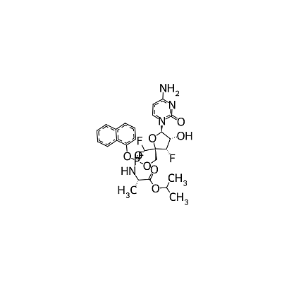 CC(C)OC(=O)[C@H](C)NP(=O)(OC[C@@]1(C(F)F)O[C@@H](n2ccc(N)nc2=O)[C@H](O)[C@@H]1F)Oc1cccc2ccccc12